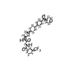 O=C(CNC(=O)c1cccc(C(F)(F)F)c1)N[C@@H]1CCN(C2CCC(c3ccc(C(=O)N4CCOCC4)cc3)CC2)C1